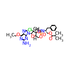 CCOc1nc(N)nc2c1ncn2[C@@H]1O[C@@H]2CO[P@](=O)(N[C@H](COC(=O)C(C)C)Cc3ccccc3)O[C@H]2[C@@]1(C)Cl